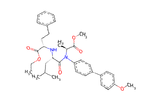 CCOC(=O)[C@H](CCc1ccccc1)N[C@@H](CC(C)C)C(=O)N(c1ccc(-c2ccc(OC)cc2)cc1)[C@@H](C)C(=O)OC